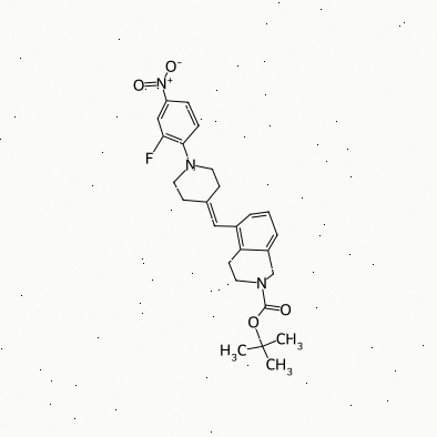 CC(C)(C)OC(=O)N1CCc2c(C=C3CCN(c4ccc([N+](=O)[O-])cc4F)CC3)cccc2C1